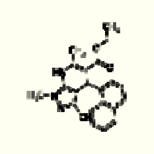 CCOC(=O)C1=C(C)Nc2c(c(C)nn2C)C1c1cccc2ccccc12